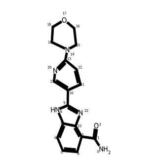 NC(=O)c1cccc2[nH]c(-c3ccc(N4CCOCC4)nc3)nc12